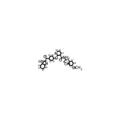 COc1ccc(C[C@@H](CO)NC(=O)c2cccnc2Oc2ccc(C(=O)c3nc4ccccc4[nH]3)cc2)cc1